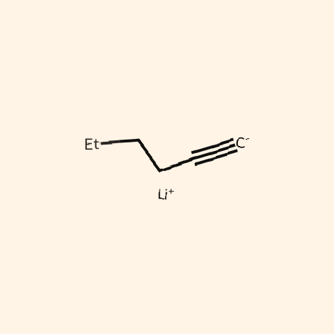 [C-]#CCCCC.[Li+]